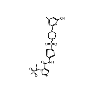 Cc1cc(C#N)nc(N2CCN(S(=O)(=O)c3ccc(NC(=O)c4cncn4N(C)S(C)(=O)=O)cc3)CC2)n1